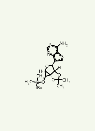 CC1(C)O[C@H]2[C@H](c3csc4c(N)ncnc34)O[C@@H]3C(O[Si](C)(C)C(C)(C)C)[C@@]32O1